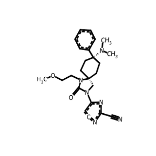 COCCN1C(=O)N(c2ccnc(C#N)n2)C[C@]12CC[C@@](c1ccccc1)(N(C)C)CC2